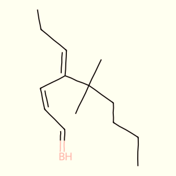 B=C/C=C\C(=C/CC)C(C)(C)CCCC